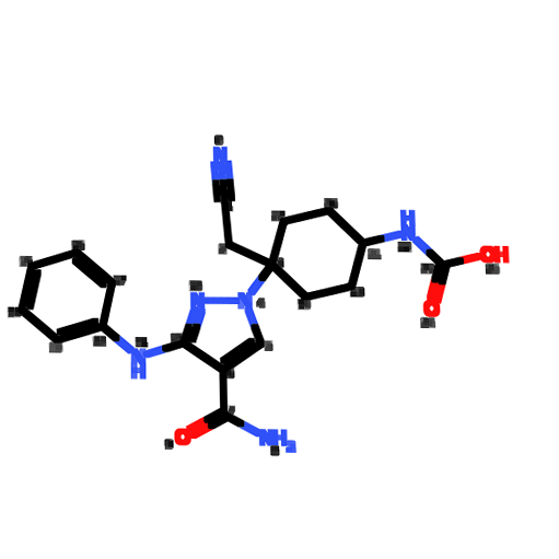 N#CCC1(n2cc(C(N)=O)c(Nc3ccccc3)n2)CCC(NC(=O)O)CC1